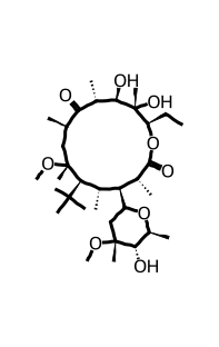 CC[C@H]1OC(=O)[C@H](C)[C@@H](C2C[C@@](C)(OC)[C@@H](O)[C@H](C)O2)[C@H](C)[C@@H](C(C)(C)C)[C@](C)(OC)C[C@@H](C)C(=O)[C@H](C)[C@@H](O)[C@]1(C)O